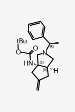 C=C1C[C@@H]2CN([C@H](C)c3ccccc3)C[C@]2(NC(=O)OC(C)(C)C)C1